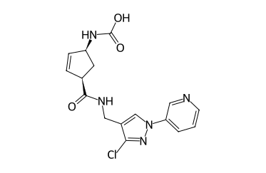 O=C(O)N[C@@H]1C=C[C@H](C(=O)NCc2cn(-c3cccnc3)nc2Cl)C1